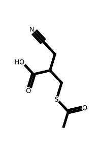 CC(=O)SCC(CC#N)C(=O)O